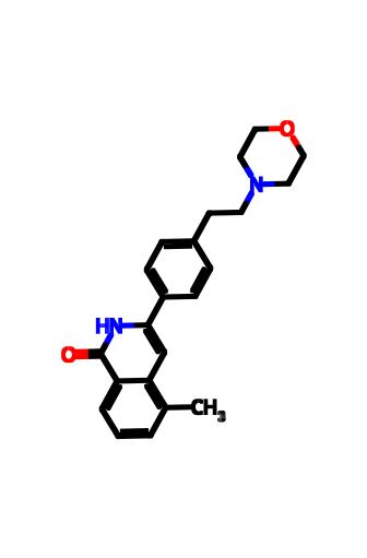 Cc1cccc2c(=O)[nH]c(-c3ccc(CCN4CCOCC4)cc3)cc12